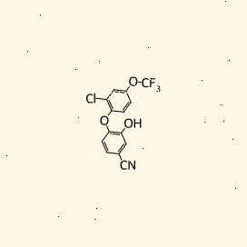 N#Cc1ccc(Oc2ccc(OC(F)(F)F)cc2Cl)c(O)c1